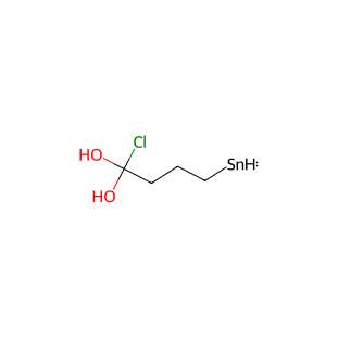 OC(O)(Cl)CC[CH2][SnH]